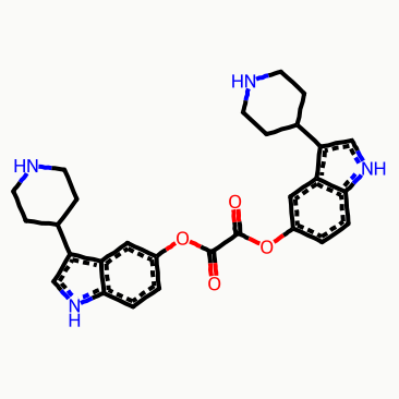 O=C(Oc1ccc2[nH]cc(C3CCNCC3)c2c1)C(=O)Oc1ccc2[nH]cc(C3CCNCC3)c2c1